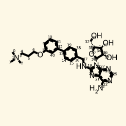 C[N+](C)(C)CCCOc1cccc(-c2ccc(CNc3nc4c(N)ncnc4n3[C@@H]3O[C@H](CO)[C@@H](O)[C@H]3O)cc2)c1